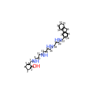 OC1=CCCC=C1CNCCCNCCCCNCCCNCc1ccc2c(c1)C1=C(CCC=C1)C2